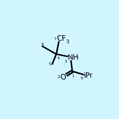 CC(C)C(=O)NC(C)(C)C(F)(F)F